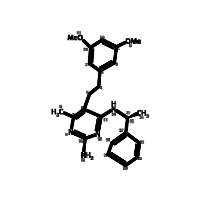 COc1cc(CCc2c(C)nc(N)nc2N[C@@H](C)c2ccccc2)cc(OC)c1